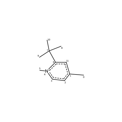 Cc1cc[n+](C)c(C(C)(C)C)c1